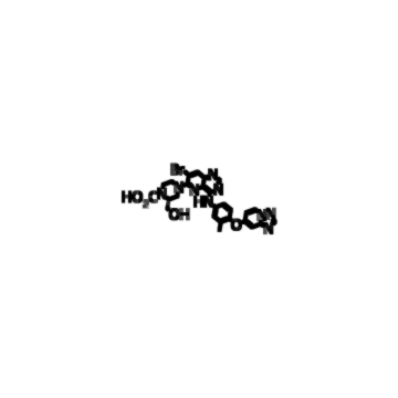 Cc1cc(Nc2ncnc3cc(Br)c(N4CCN(C(=O)O)[C@H](CO)C4)nc23)ccc1Oc1ccn2ncnc2c1